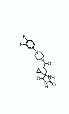 O=C1NC(=O)C(CCC(=O)N2CCN(c3ccc(F)c(F)c3)CC2)(C2CC2)N1